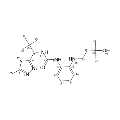 Cc1nnc([C@@H](NC(=O)Nc2ccccc2NCCC(C)(C)O)C(C)(C)C)s1